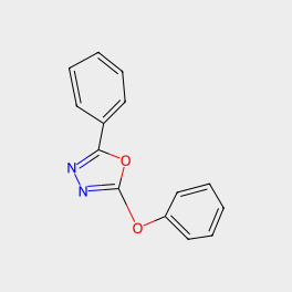 c1ccc(Oc2nnc(-c3ccccc3)o2)cc1